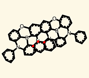 c1ccc(N2c3cccc4c3B3c5c2cccc5N(c2ccccc2)c2c3c(cc3cc5c6c(c23)N(c2ccccc2)c2cccc3c2B6c2c(cccc2N3c2ccccc2)O5)O4)cc1